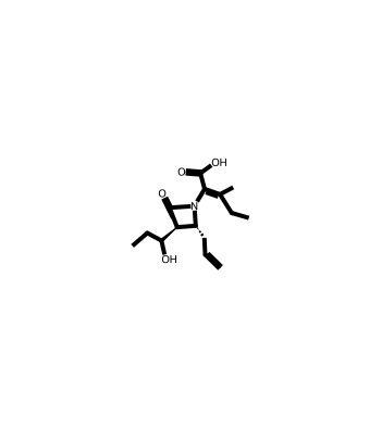 C=CC[C@@H]1[C@@H](C(O)CC)C(=O)N1C(C(=O)O)=C(C)CC